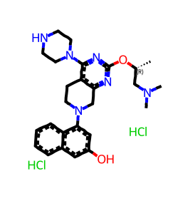 C[C@H](CN(C)C)Oc1nc2c(c(N3CCNCC3)n1)CCN(c1cc(O)cc3ccccc13)C2.Cl.Cl